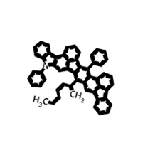 C=C(/C=C\C=C/C)c1c2cc3c4ccccc4c4cccc(c2c(-c2ccccc2)c2c5cccc6c5c(cc5c6c6ccccc6n5-c5ccccc5)c12)c43